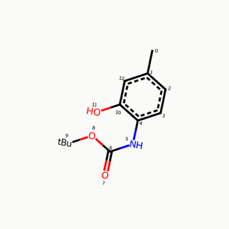 Cc1ccc(NC(=O)OC(C)(C)C)c(O)c1